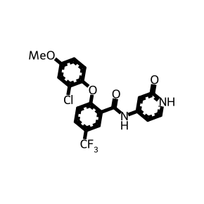 COc1ccc(Oc2ccc(C(F)(F)F)cc2C(=O)Nc2cc[nH]c(=O)c2)c(Cl)c1